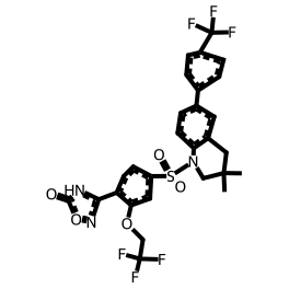 CC1(C)Cc2cc(-c3ccc(C(F)(F)F)cc3)ccc2N(S(=O)(=O)c2ccc(-c3noc(=O)[nH]3)c(OCC(F)(F)F)c2)C1